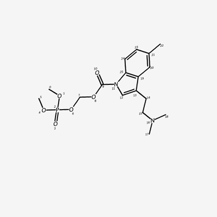 COP(=O)(OC)OCOC(=O)n1cc(CCN(C)C)c2cc(C)ccc21